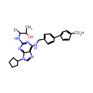 CCC(Nc1nc(NCc2ccc(-c3ccc(C(=O)O)cc3)cc2)c2ncn(C3CCCC3)c2n1)C(C)O